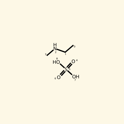 CCNC.O=S(=O)(O)O